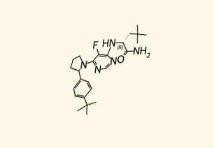 CC(C)(C)C[C@@H](Nc1ncnc(N2CCCC2c2ccc(C(C)(C)C)cc2)c1F)C(N)=O